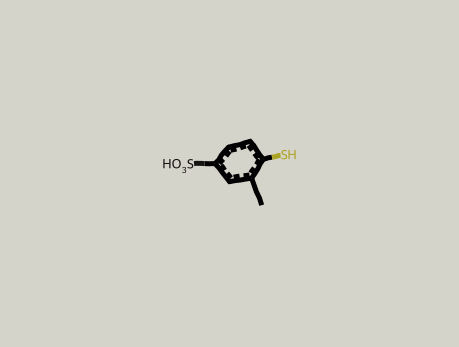 Cc1cc(S(=O)(=O)O)ccc1S